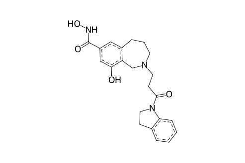 O=C(NO)c1cc(O)c2c(c1)CCCN(CCC(=O)N1CCc3ccccc31)C2